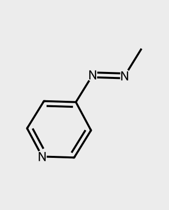 C/N=N/c1ccncc1